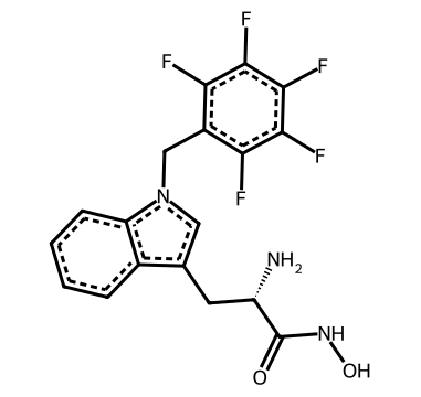 N[C@@H](Cc1cn(Cc2c(F)c(F)c(F)c(F)c2F)c2ccccc12)C(=O)NO